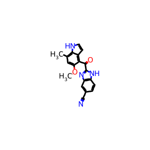 COc1cc(C)c2[nH]ccc2c1C(=O)c1nc2cc(C#N)ccc2[nH]1